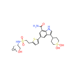 CC[C@@H](CO)NS(=O)(=O)CCc1ccc(-c2cc(C(N)=O)c3[nH]cc(C4CCS(O)(O)CC4)c3c2)s1